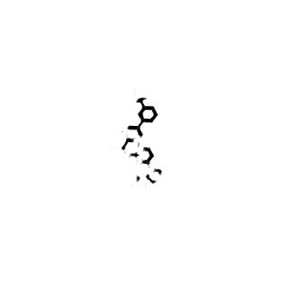 CC(C)[C@H]1COC(=O)N1c1ccnc(N[C@H](C)c2ncc(-c3cccc(C(F)(F)F)c3)cn2)n1